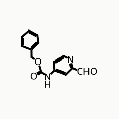 O=Cc1cc(NC(=O)OCc2ccccc2)ccn1